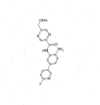 COCc1cnc(C(=O)Nc2cc(-c3ccc(F)nc3)ccc2N)cn1